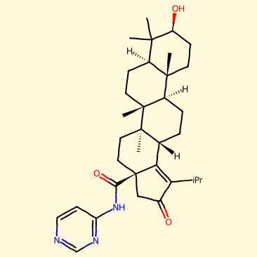 CC(C)C1=C2[C@H]3CC[C@@H]4[C@@]5(C)CC[C@H](O)C(C)(C)[C@@H]5CC[C@@]4(C)[C@]3(C)CC[C@@]2(C(=O)Nc2ccncn2)CC1=O